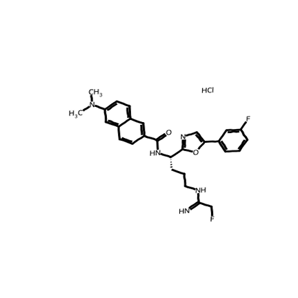 CN(C)c1ccc2cc(C(=O)N[C@@H](CCCNC(=N)CF)c3ncc(-c4cccc(F)c4)o3)ccc2c1.Cl